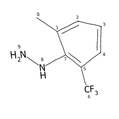 Cc1cccc(C(F)(F)F)c1NN